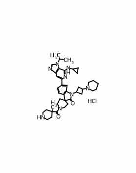 CC(C)n1cnc2cc(-c3ccc4c(c3)N(C3CC(N5CCCCC5)C3)C(=O)C43CCN(C(=O)C4(C)CCNCC4)CC3)nc(NC3CC3)c21.Cl